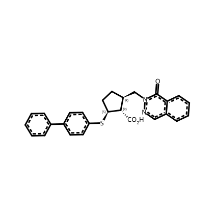 O=C(O)[C@H]1[C@H](Cn2ncc3ccccc3c2=O)CC[C@@H]1Sc1ccc(-c2ccccc2)cc1